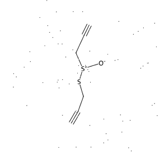 C#CCS[S+]([O-])CC#C